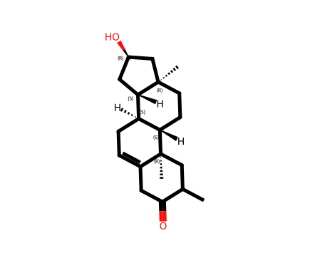 CC1C[C@@]2(C)C(=CC[C@H]3[C@@H]4C[C@@H](O)C[C@@]4(C)CC[C@@H]32)CC1=O